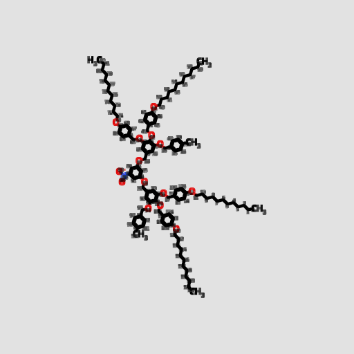 CCCCCCCCCCCCOc1ccc(COc2cc(COc3cc(OCc4cc(OCc5ccc(C)cc5)c(OCc5ccc(OCCCCCCCCCCCC)cc5)c(OCc5ccc(OCCCCCCCCCCCC)cc5)c4)cc([N+](=O)[O-])c3)cc(OCc3ccc(C)cc3)c2OCc2ccc(OCCCCCCCCCCCC)cc2)cc1